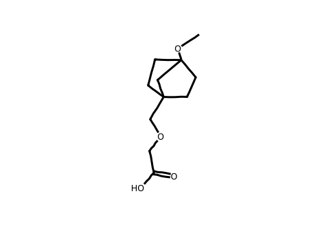 COC12CCC(COCC(=O)O)(CC1)C2